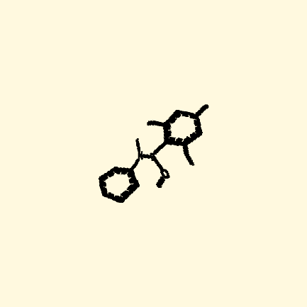 COB(c1c(C)cc(C)cc1C)N(C)c1ccccc1